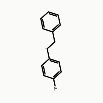 Fc1ccc([CH]Cc2ccccc2)cc1